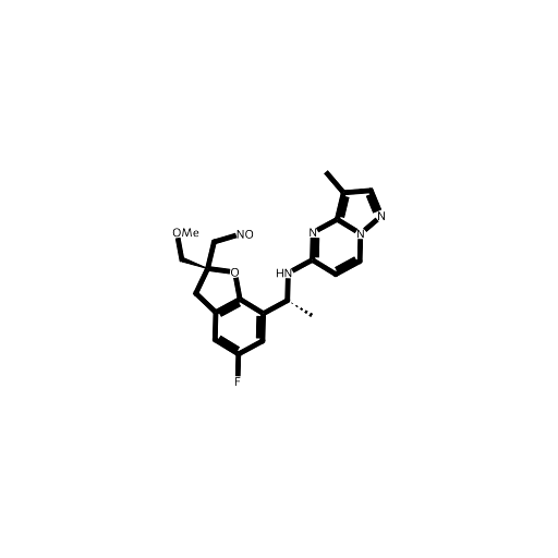 COC[C@]1(CN=O)Cc2cc(F)cc([C@@H](C)Nc3ccn4ncc(C)c4n3)c2O1